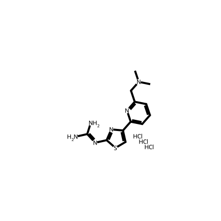 CN(C)Cc1cccc(-c2csc(N=C(N)N)n2)n1.Cl.Cl.Cl